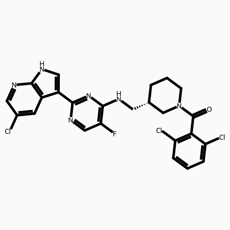 O=C(c1c(Cl)cccc1Cl)N1CCC[C@@H](CNc2nc(-c3c[nH]c4ncc(Cl)cc34)ncc2F)C1